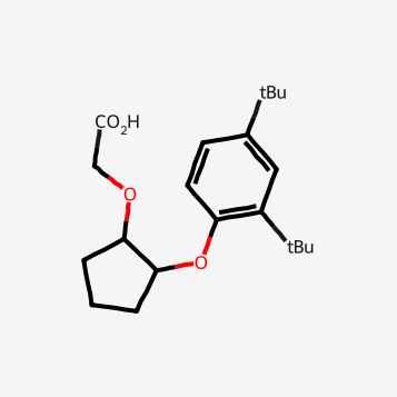 CC(C)(C)c1ccc(OC2CCCC2OCC(=O)O)c(C(C)(C)C)c1